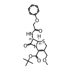 COCC1=C(C(=O)OC(C)(C)C)N2C(=O)[C@@H](NC(=O)COc3ccccc3)[C@H]2SC1